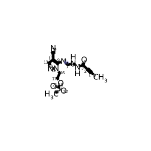 CC#CC(=O)NN/C=N/c1c(C#N)cnn1CCOS(C)(=O)=O